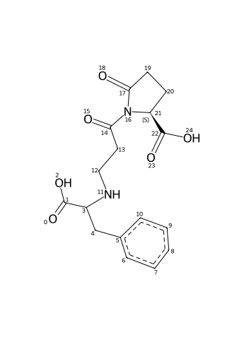 O=C(O)C(Cc1ccccc1)NCCC(=O)N1C(=O)CC[C@H]1C(=O)O